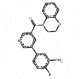 O=C(c1cncc(-c2ccc(F)c([N+](=O)[O-])c2)c1)N1CCOc2ccccc21